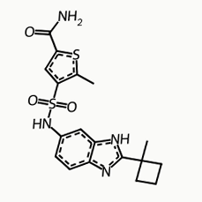 Cc1sc(C(N)=O)cc1S(=O)(=O)Nc1ccc2nc(C3(C)CCC3)[nH]c2c1